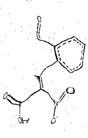 O=Cc1ccccc1C=C(C(=O)O)[N+](=O)[O-]